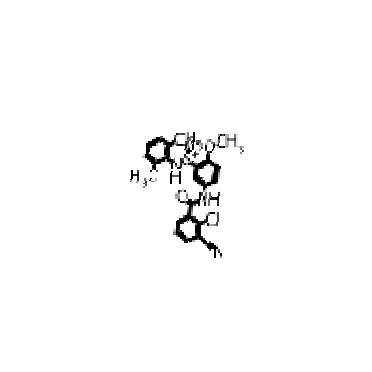 COc1ccc(NC(=O)c2cccc(C#N)c2Cl)cc1[S+]([O-])Nc1c(C)cccc1C